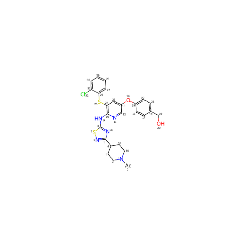 CC(=O)N1CCC(c2nsc(Nc3ncc(Oc4ccc(CO)cc4)cc3Sc3ccccc3Cl)n2)CC1